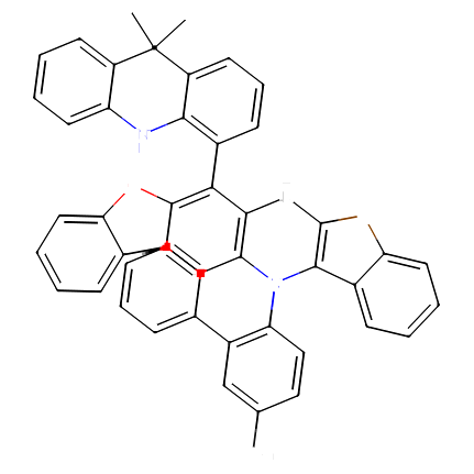 CC(C)(C)c1ccc(N2c3cc4c(oc5ccccc54)c(-c4cccc5c4Nc4ccccc4C5(C)C)c3Bc3sc4ccccc4c32)c(-c2ccccc2)c1